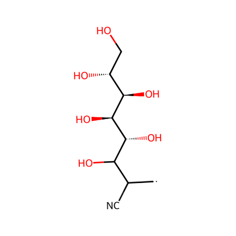 [CH2]C(C#N)C(O)[C@@H](O)[C@@H](O)[C@H](O)[C@H](O)CO